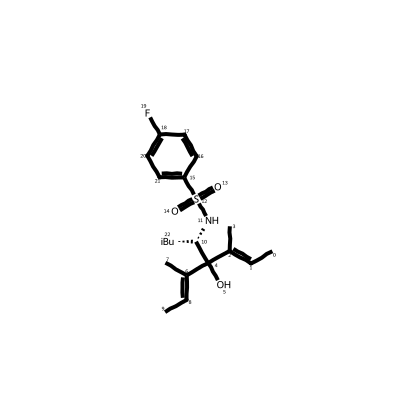 C/C=C(\C)C(O)(/C(C)=C/C)[C@@H](NS(=O)(=O)c1ccc(F)cc1)[C@@H](C)CC